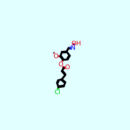 COc1cc(/C=N/O)ccc1OC(=O)C=Cc1ccc(Cl)cc1